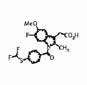 COc1cc2c(CC(=O)O)c(C)n(C(=O)c3ccc(SC(F)F)cc3)c2cc1F